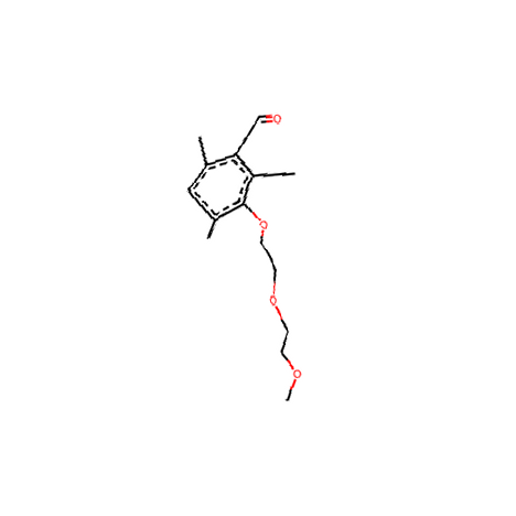 COCCOCCOc1c(C)cc(C)c(C=O)c1C